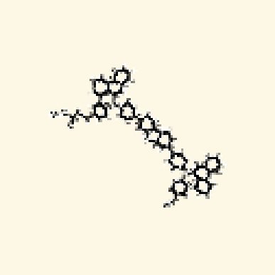 CCCc1ccc(N(c2ccc(-c3ccc4c(c3)sc3cc(-c5ccc(N(c6ccc(CCC(=O)OC)cc6)c6cc7ccccc7c7ccccc67)cc5)ccc34)cc2)c2cc3ccccc3c3ccccc23)cc1